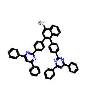 N#Cc1cc(-c2ccc(-c3nc(-c4ccccc4)cc(-c4ccccc4)n3)cc2)c(-c2ccc(-c3nc(-c4ccccc4)cc(-c4ccccc4)n3)cc2)c2ccccc12